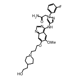 COc1cc2c(NC3=C[N+](CC(N)=O)(c4cccc(F)c4)N=C3)ncnc2cc1OCCCN1CCC(CCO)CC1